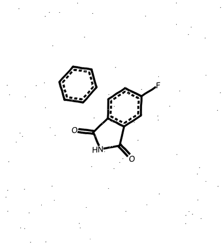 O=C1NC(=O)c2cc(F)ccc21.c1ccccc1